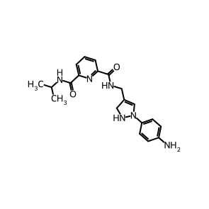 CC(C)NC(=O)c1cccc(C(=O)NCC2=CN(c3ccc(N)cc3)NC2)n1